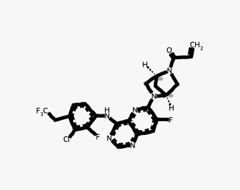 C=CC(=O)N1C[C@@H]2C[C@H]1CN2c1nc2c(Nc3ccc(CC(F)(F)F)c(Cl)c3F)ncnc2cc1F